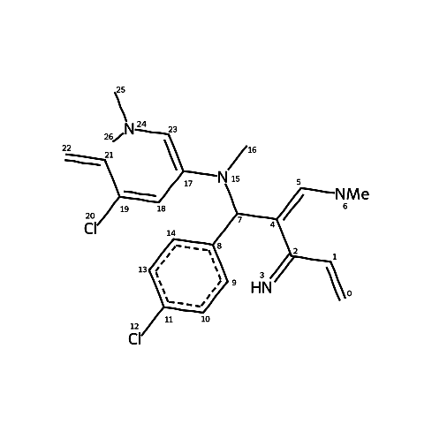 C=CC(=N)/C(=C\NC)C(c1ccc(Cl)cc1)N(C)C(/C=C(/Cl)C=C)=C/N(C)C